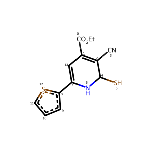 CCOC(=O)C1=C(C#N)C(S)NC(c2cccs2)=C1